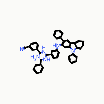 N#Cc1cccc(C(N)NC(NCc2ccccc2)c2cccc(Nc3cc4c(cc3-c3ccccc3)c3ccccc3n4-c3ccccc3)c2)c1